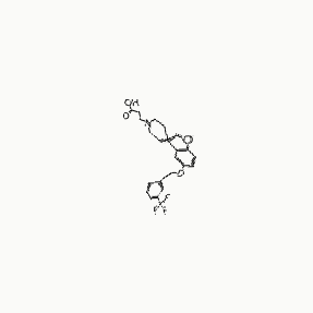 O=C(O)CCN1CCC2(CC1)COc1ccc(OCc3cccc(C(F)(F)F)c3)cc12